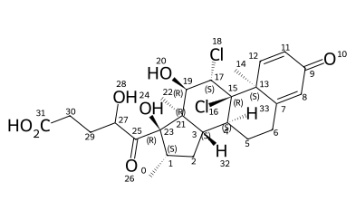 C[C@H]1C[C@H]2[C@@H]3CCC4=CC(=O)C=C[C@]4(C)[C@@]3(Cl)[C@@H](Cl)[C@H](O)[C@]2(C)[C@@]1(O)C(=O)C(O)CCC(=O)O